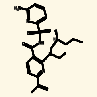 C=C(C)c1ccc(C(=O)NS(=O)(=O)c2cccc(N)n2)c(N(CC)C[C@@H](C)CCC)n1